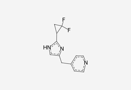 FC1(F)CC1c1nc(Cc2ccncc2)c[nH]1